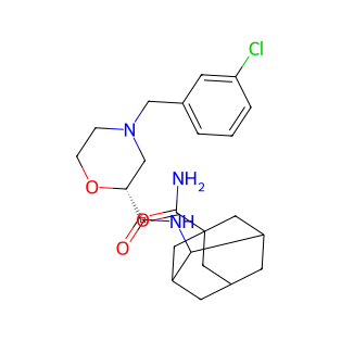 NC(=O)C12CC3CC(C1)C(NC(=O)[C@H]1CN(Cc4cccc(Cl)c4)CCO1)C(C3)C2